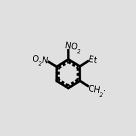 [CH2]c1ccc([N+](=O)[O-])c([N+](=O)[O-])c1CC